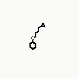 [c]1ccc(OCCCCC2CC2)cc1